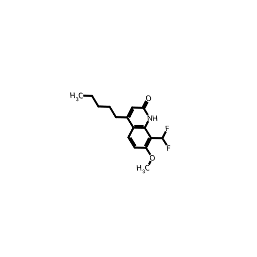 CCCCCc1cc(=O)[nH]c2c(C(F)F)c(OC)ccc12